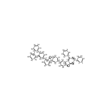 c1ccc(-c2nc(-c3ccccc3)c3c(n2)oc2ccc(-c4ccc5oc6c(-c7ccc8c9ccccc9c9ccccc9c8c7)cccc6c5c4)cc23)cc1